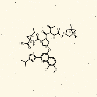 C=C(C)C(NC(=O)O[C@@H]1C[C@@H]2C[C@@H]2C1)C(=O)N1C[C@H](Oc2cc(-c3nc(C(C)C)cs3)nc3c(Cl)c(OC)ccc23)C[C@H]1C(=O)N[C@]1(C(=O)O)C[C@H]1CC